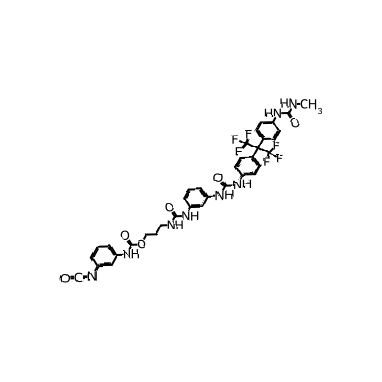 CNC(=O)Nc1ccc(C(c2ccc(NC(=O)Nc3cccc(NC(=O)NCCCOC(=O)Nc4cccc(N=C=O)c4)c3)cc2)(C(F)(F)F)C(F)(F)F)cc1